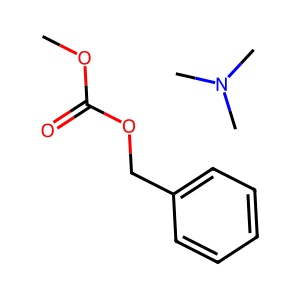 CN(C)C.COC(=O)OCc1ccccc1